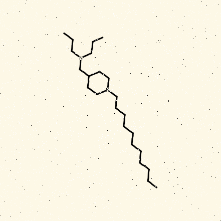 CCCCCCCCCCCN1CCC(CN(CCC)CCC)CC1